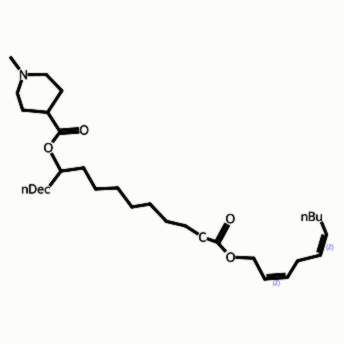 CCCC/C=C\C/C=C\COC(=O)CCCCCCCCC(CCCCCCCCCC)OC(=O)C1CCN(C)CC1